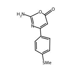 CSc1ccc(-c2cc(=O)oc(N)n2)cc1